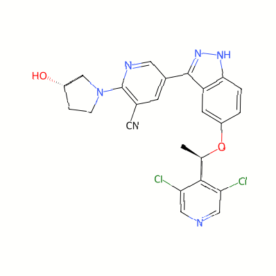 C[C@@H](Oc1ccc2[nH]nc(-c3cnc(N4CC[C@H](O)C4)c(C#N)c3)c2c1)c1c(Cl)cncc1Cl